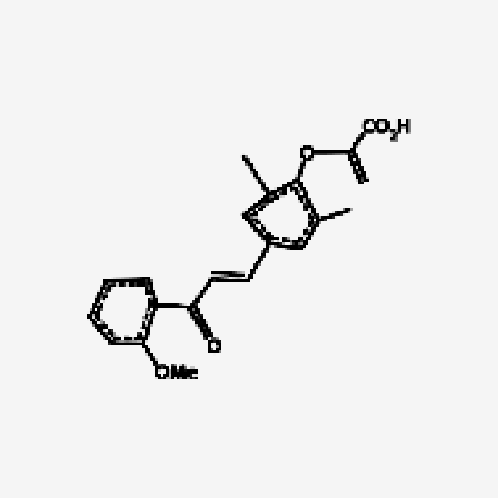 C=C(Oc1c(C)cc(/C=C/C(=O)c2ccccc2OC)cc1C)C(=O)O